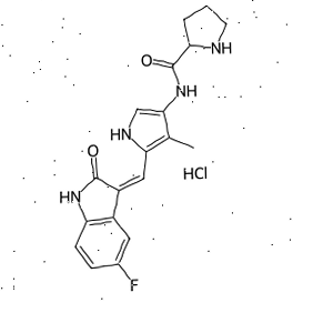 Cc1c(NC(=O)C2CCCN2)c[nH]c1/C=C1\C(=O)Nc2ccc(F)cc21.Cl